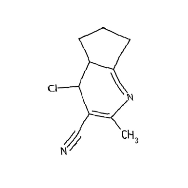 CC1=C(C#N)C(Cl)C2CCCC2=N1